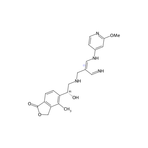 COc1cc(N/C=C(\C=N)CNC[C@H](O)c2ccc3c(c2C)COC3=O)ccn1